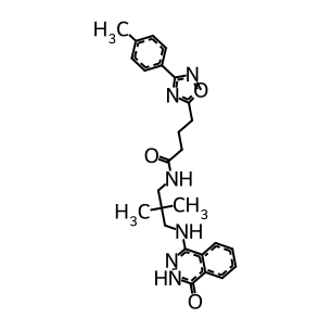 Cc1ccc(-c2noc(CCCC(=O)NCC(C)(C)CNc3n[nH]c(=O)c4ccccc34)n2)cc1